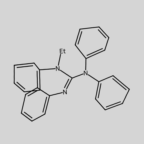 CCN(C(=Nc1ccccc1)N(c1ccccc1)c1ccccc1)c1ccccc1